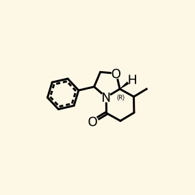 CC1CCC(=O)N2C(c3ccccc3)CO[C@H]12